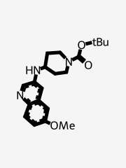 COc1ccc2ncc(NC3CCN(C(=O)OC(C)(C)C)CC3)cc2c1